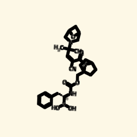 CC(C)(C=C(C#N)C(=O)N1C2CCC1(COC(=O)N[C@@H](Cc1ccccc1)B(O)O)CC2)N1CC2CC(C1)O2